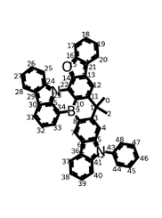 CC1(C)c2cc3c(cc2B2c4c1cc1c(oc5ccccc51)c4-n1c4ccccc4c4cccc2c41)c1ccccc1n3-c1ccccc1